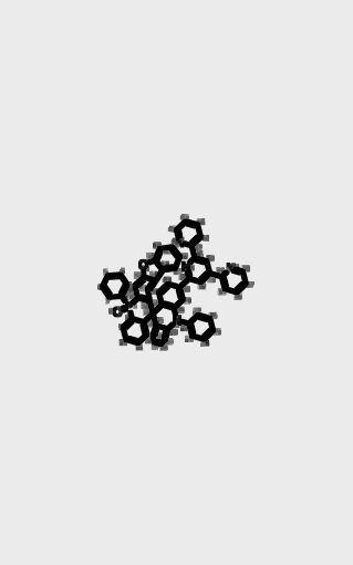 O=P1(c2ccccc2)c2ccccc2C2(c3ccccc3N(c3ccccc3)c3cc(-c4cc(-c5ccccn5)cc(-c5ccccn5)n4)ccc32)c2cc3c(cc21)oc1ccccc13